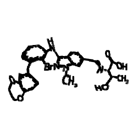 C[C@@H](O)[C@H](N=Cc1ccc2c(Nc3cccc(-c4ccc5c(c4)OCCO5)c3Br)nn(C)c2c1)C(=O)O